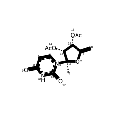 C=C1O[C@@](C)(n2ccc(=O)[nH]c2=O)[C@H](OC(C)=O)[C@@H]1OC(C)=O